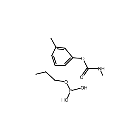 CCCOP(O)O.CNC(=O)Oc1cccc(C)c1